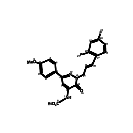 CCOC(=O)Nc1cc(-c2ccc(OC)cc2)nn(CC=Cc2ccc(F)cc2F)c1=O